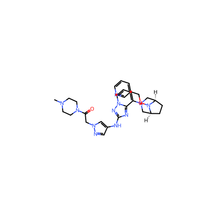 CN1CCN(C(=O)Cn2cc(Nc3nc4c(N5C[C@H]6CC[C@@H](C5)N6OCc5cccnc5)cccn4n3)cn2)CC1